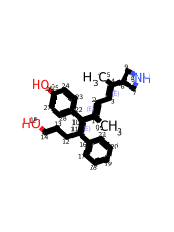 CC(=C\C=C(/C)C1CNC1)/C(=C(/CCCO)c1ccccc1)c1ccc(O)cc1